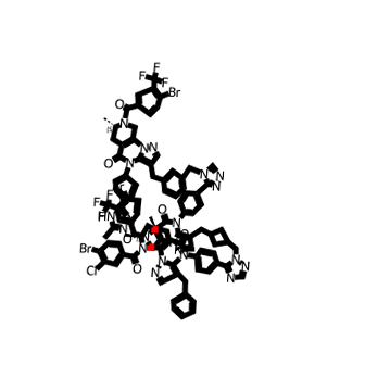 Cc1nnc(-c2ccc(-n3c(=O)c4c(n5ncc(Cc6cccc(Cn7cnnc7-c7ccc(-n8c(=O)c9c(n%10ncc(CC%11CC(Cn%12ncnc%12-c%12ccc(-n%13c(=O)c%14c(n%15ncc(Cc%16ccccc%16)c%13%15)CN(C(=O)c%13ccc(Br)c(C(F)(F)F)c%13)[C@@H](C)C%14)cc%12)C%11)c8%10)CN(C(=O)c8ccc(Br)c(Cl)c8)[C@@H](C)C9)cc7)c6)c35)CN(C(=O)c3ccc(Br)c(C(F)(F)F)c3)[C@@H](C)C4)cc2)[nH]1